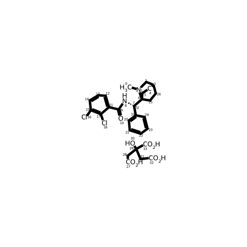 CN1CC2CCC1([C@@H](NC(=O)c1cccc(Cl)c1Cl)c1ccccc1)CC2.O=C(O)CC(O)(CC(=O)O)C(=O)O